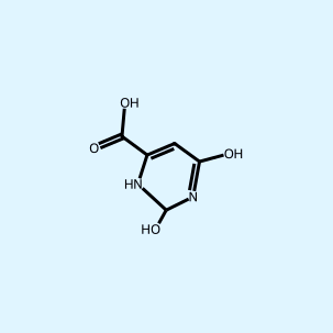 O=C(O)C1=CC(O)=NC(O)N1